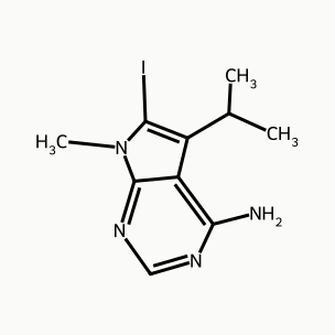 CC(C)c1c(I)n(C)c2ncnc(N)c12